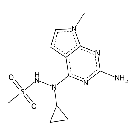 Cn1ccc2c(N(NS(C)(=O)=O)C3CC3)nc(N)nc21